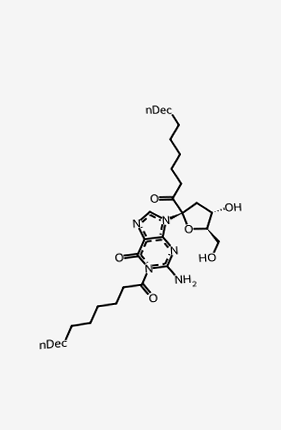 CCCCCCCCCCCCCCCC(=O)n1c(N)nc2c(ncn2[C@@]2(C(=O)CCCCCCCCCCCCCCC)C[C@H](O)[C@@H](CO)O2)c1=O